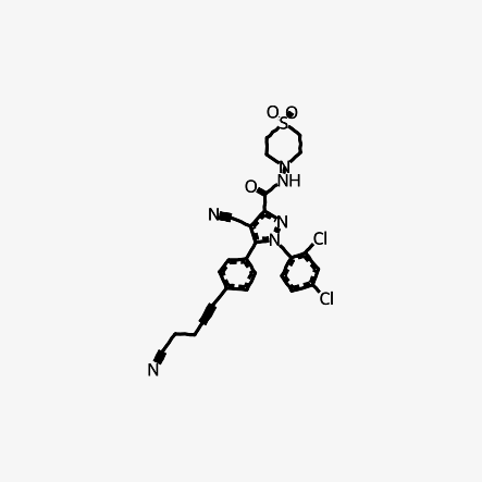 N#CCCC#Cc1ccc(-c2c(C#N)c(C(=O)NN3CCS(=O)(=O)CC3)nn2-c2ccc(Cl)cc2Cl)cc1